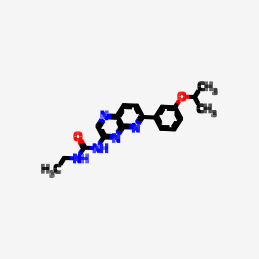 CCNC(=O)Nc1cnc2ccc(-c3cccc(OC(C)C)c3)nc2n1